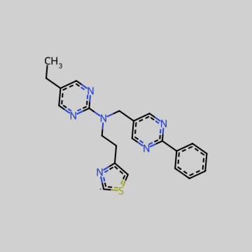 CCc1cnc(N(CCc2cs[c]n2)Cc2cnc(-c3ccccc3)nc2)nc1